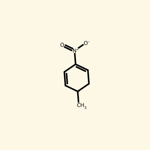 C[C]1C=CC([N+](=O)[O-])=CC1